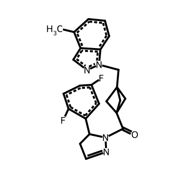 Cc1cccc2c1cnn2CC12CC(C(=O)N3N=CCC3c3cc(F)ccc3F)(C1)C2